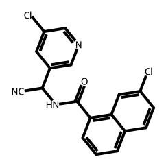 N#CC(NC(=O)c1cccc2ccc(Cl)cc12)c1cncc(Cl)c1